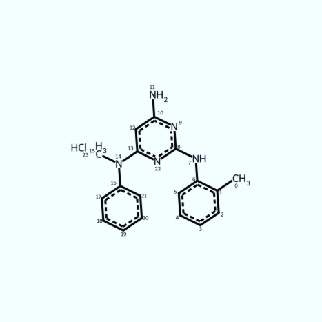 Cc1ccccc1Nc1nc(N)cc(N(C)c2ccccc2)n1.Cl